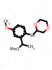 COC(C)c1cc(OC(F)(F)F)cc[c]1[Sn][CH]1COCCO1